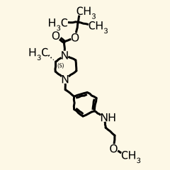 COCCNc1ccc(CN2CCN(C(=O)OC(C)(C)C)[C@@H](C)C2)cc1